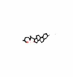 CNC1CCC2(C)C(=CCC3C2CCC2(C)C3CC3OC4(CCC(C)CO4)C(C)C32)C1